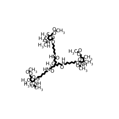 CC(=O)NC1[C@H](OCCCCCCNC(=O)CCC(C)(CCC(=O)NCCCCCCO[C@@H]2OC(COC(C)=O)[C@H](C)[C@H](C)C2NC(C)=O)CCC(=O)NCCCCCCO[C@@H]2OC(COC(C)=O)[C@H](C)[C@H](C)C2NC(C)=O)OC(COC(C)=O)[C@H](C)[C@@H]1C